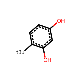 [CH2]C(C)(C)c1ccc(O)cc1O